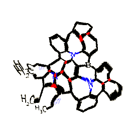 C=Cc1c(C=C)c(/C=C\C)n(-c2cc3c4c(c2)N(c2c(-c5ccccc5)cccc2-c2ccccc2)c2ccccc2B4c2ccccc2N3c2c(-c3ccccc3)cccc2-c2ccccc2)c1/C=C\C